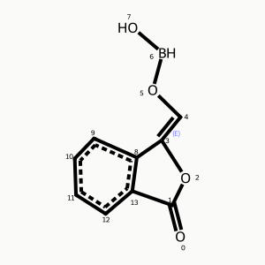 O=C1O/C(=C/OBO)c2ccccc21